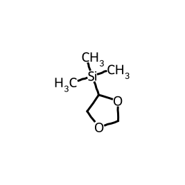 C[Si](C)(C)C1COCO1